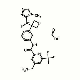 Cn1cnnc1[C@H](F)C1(c2cccc(NC(=O)c3cc(CN)cc(C(F)(F)F)n3)c2)COC1.O=CO